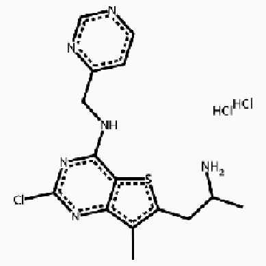 Cc1c(CC(C)N)sc2c(NCc3ccncn3)nc(Cl)nc12.Cl.Cl